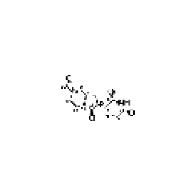 O=C1CCC(N2Cc3cc(CCl)ccc3C2=O)C(=O)N1